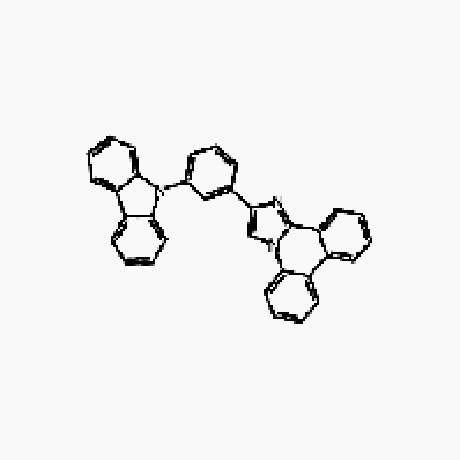 c1cc(-c2cn3c4ccccc4c4ccccc4c3n2)cc(-n2c3ccccc3c3ccccc32)c1